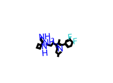 Cc1c(CCCNC2(/C(N)=C/N)CCC2)c2n(c1C1=CCC(F)C(F)=C1)CC(C)C2